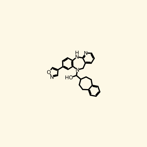 OC(C1CCc2ccccc2CC1)N1Cc2cccnc2Nc2ccc(-c3cnoc3)cc21